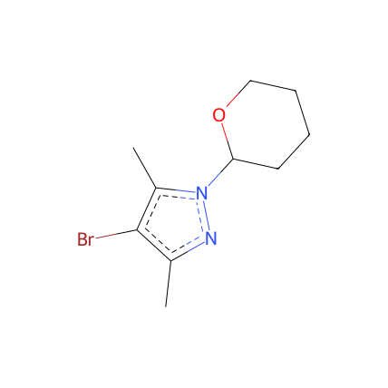 Cc1nn(C2CCCCO2)c(C)c1Br